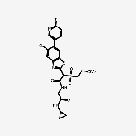 COCCS(=O)(=O)C(C(=O)NCC(=O)NC1CC1)c1nc2cc(Cl)c(-c3ccc(F)nc3)cc2s1